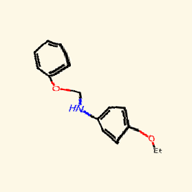 CCOc1ccc(NCOc2ccccc2)cc1